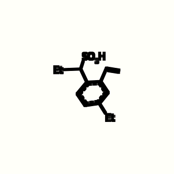 C=Cc1cc(CC)ccc1C(CC)S(=O)(=O)O